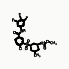 COC(=O)NC1CC(C)CC(S(=O)(=O)c2cc(C(=O)Nc3cc(F)c(F)c(F)c3)ccc2Cl)C1